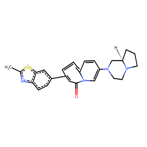 Cc1nc2ccc(C3=C\C(=O)N4C=C(N5CCN6CCC[C@@H]6C5)C=C\C4=C/C=C/3)cc2s1